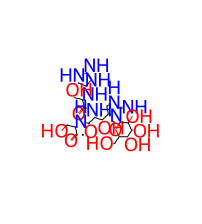 N=C1NCC(NC(CO)C(=O)NC(C(=O)NC([C]=O)CO)C(O)C2CNC(=N)N2C2OC(CO)C(O)C(O)C2O)N1